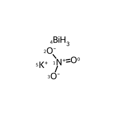 O=[N+]([O-])[O-].[BiH3].[K+]